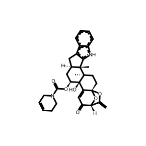 C=C1O[C@@]23CC[C@]4(C)[C@@]5(C)c6[nH]c7ccccc7c6C[C@@H]5C[C@H](OC(=O)N5CC=CCC5)[C@@]4(O)C2=CC(=O)[C@@H]1O3